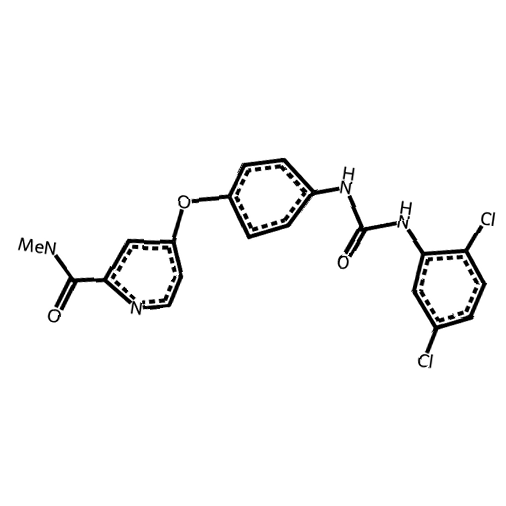 CNC(=O)c1cc(Oc2ccc(NC(=O)Nc3cc(Cl)ccc3Cl)cc2)ccn1